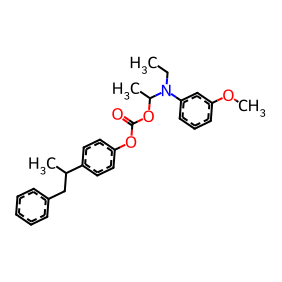 CCN(c1cccc(OC)c1)C(C)OC(=O)Oc1ccc(C(C)Cc2ccccc2)cc1